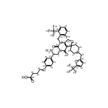 N[C@@H](Cn1c(=O)c2c(n(Cc3c(F)cccc3C(F)(F)F)c1=O)COC21CCN(Cc2ccc(C(F)(F)F)o2)CC1)c1ccc(OCCCC(=O)O)cc1